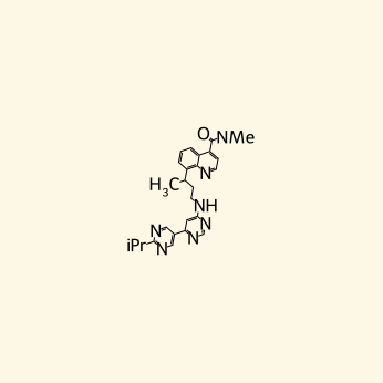 CNC(=O)c1ccnc2c(C(C)CCNc3cc(-c4cnc(C(C)C)nc4)ncn3)cccc12